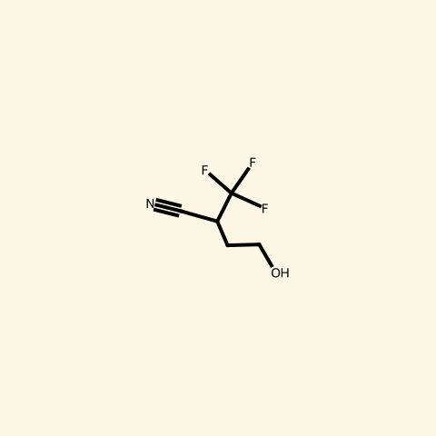 N#CC(CCO)C(F)(F)F